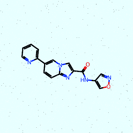 O=C(Nc1cnoc1)c1cn2cc(-c3ccccn3)ccc2n1